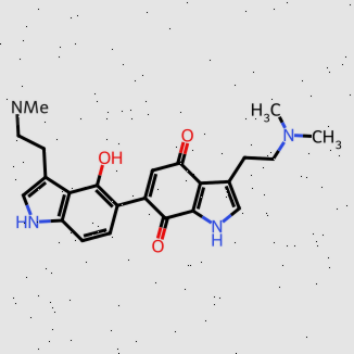 CNCCc1c[nH]c2ccc(C3=CC(=O)c4c(CCN(C)C)c[nH]c4C3=O)c(O)c12